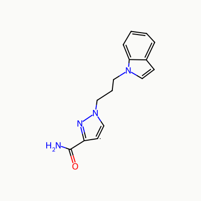 NC(=O)c1[c]cn(CCCn2ccc3ccccc32)n1